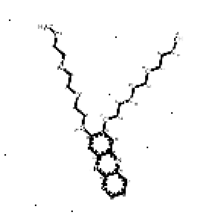 COCCOCCOCCOc1cc2nc3ccccc3nc2cc1OCCOCCOCCOC